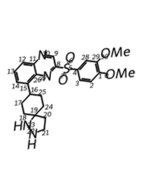 COc1ccc(S(=O)(=O)c2cnc3cccc(C4CCC5(CCNN5)CC4)c3n2)cc1OC